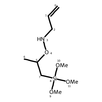 C=CCNOC(C)C[Si](OC)(OC)OC